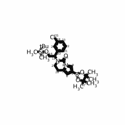 CC1(C)OB(c2cc3n(c2)C(=O)N(C(CO[Si](C)(C)C(C)(C)C)c2cccc(Cl)c2)CC3)OC1(C)C